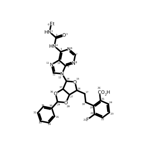 CCNC(=O)Nc1ncnc2c1ncn2C1OC(CCc2c(F)cccc2C(=O)O)C2OC(c3ccccc3)OC21